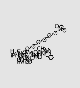 CC[C@H](C)[C@@H]([C@@H](CC(=O)N1CCC[C@H]1[C@H](OC)[C@@H](C)C(=S)N[C@@H](Cc1ccccc1)c1nccs1)OC)N(C)C(=O)[C@@H](NC(=O)[C@H](C(C)C)N(C)C(=O)CCOCCOCCOCCOCCOCCOCCN1C(=O)C=CC1=O)C(C)C